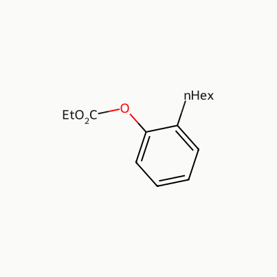 CCCCCCc1ccccc1OC(=O)OCC